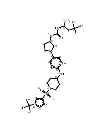 C[C@@H](CC(F)(F)F)NC(=O)O[C@@H]1CC[C@H](c2cnc(NC3CCN(S(=O)(=O)c4cnn(C(F)(F)F)c4)CC3)nc2)C1